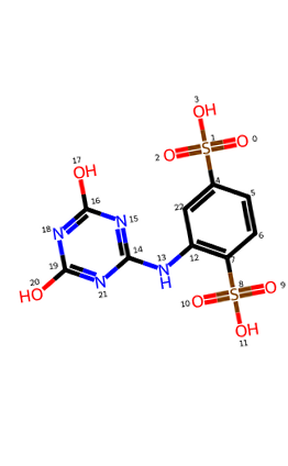 O=S(=O)(O)c1ccc(S(=O)(=O)O)c(Nc2nc(O)nc(O)n2)c1